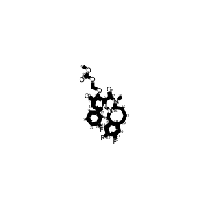 COC(=O)OCOc1c2n(ccc1=O)N1C(CCCc3cc(F)c(F)cc3[C@@H]1c1ccccc1F)N(C)C2=O